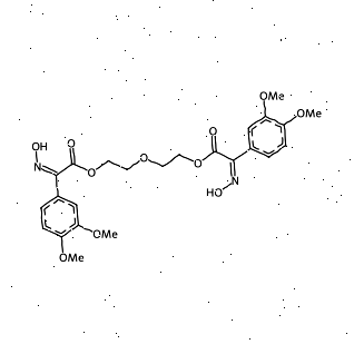 COc1ccc(C(=NO)C(=O)OCCOCCOC(=O)C(=NO)c2ccc(OC)c(OC)c2)cc1OC